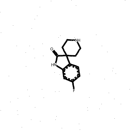 O=C1Nc2cc(F)ccc2C12CCNCC2